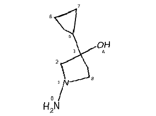 NN1CC(O)(C2CC2)C1